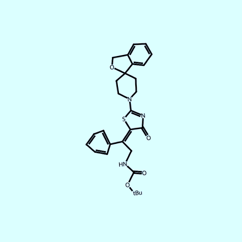 CC(C)(C)OC(=O)NC/C(=C1/SC(N2CCC3(CC2)OCc2ccccc23)=NC1=O)c1ccccc1